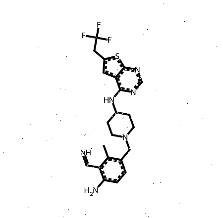 Cc1c(CN2CCC(Nc3ncnc4sc(CC(F)(F)F)cc34)CC2)ccc(N)c1C=N